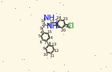 NCC(Cc1ccc(-c2ccccc2)cc1)NCc1ccc(Cl)cc1